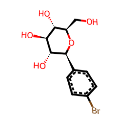 OC[C@H]1O[C@@H](c2ccc(Br)cc2)[C@H](O)[C@@H](O)[C@@H]1O